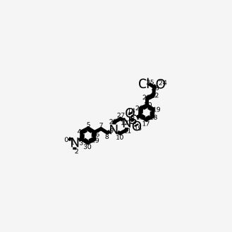 CN(C)c1ccc(CCN2CCN(S(=O)(=O)c3cccc(/C=C/C(=O)Cl)c3)CC2)cc1